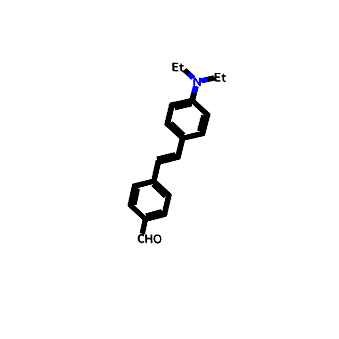 CCN(CC)c1ccc(/C=C/c2ccc(C=O)cc2)cc1